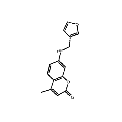 Cc1cc(=O)oc2cc(NCc3ccoc3)ccc12